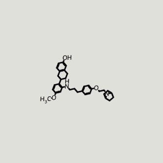 COc1ccc(C2CCc3cc(O)ccc3C2)c(NCCCc2ccc(OCCN3C4CCC3CC4)cc2)c1